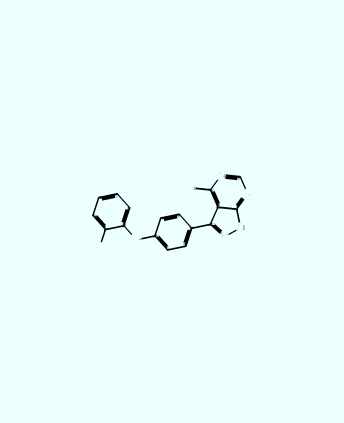 Nc1ncnc2[nH]nc(-c3ccc(Oc4ccccc4F)cc3)c12